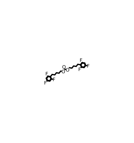 O=C(OCCCCCc1c(F)cc(F)cc1F)OCCCCCc1c(F)cc(F)cc1F